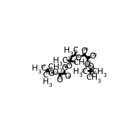 CC(CC(C)(C)OOC(=O)C(=O)OOC(C)(C)C)OC(=O)C(=O)OOC(C)(C)C